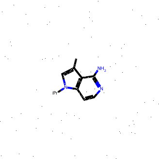 Cc1cn(C(C)C)c2ccnc(N)c12